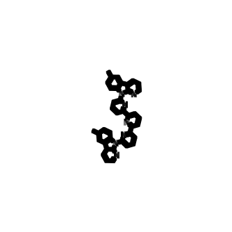 Cc1ccc2c(c1)C1C=CC=NC1N2c1cccc(-c2cccc(-c3cccc(-n4c5ccc(C)cc5c5cccnc54)n3)n2)n1